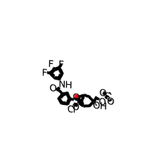 C[C@H]1CC2C[C@](O)(COS(C)(=O)=O)CC1C2S(=O)(=O)c1cc(C(=O)Nc2cc(F)c(F)c(F)c2)ccc1Cl